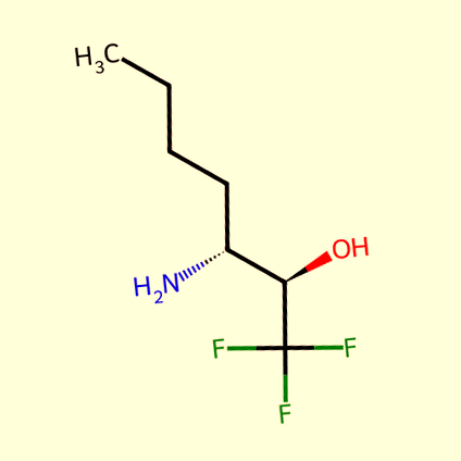 CCCC[C@@H](N)[C@@H](O)C(F)(F)F